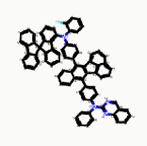 Fc1ccccc1N(c1ccc(-c2c3c(c(-c4ccc(N(c5ccccc5)c5ncc6ccccc6n5)cc4)c4ccccc24)-c2cccc4cccc-3c24)cc1)c1cccc2c1-c1ccccc1C21c2ccccc2-c2ccccc21